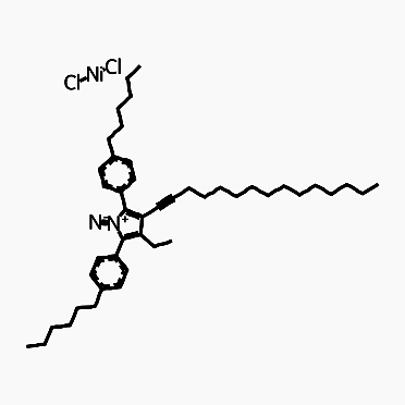 CCCCCCCCCCCCCC#CC1=C(c2ccc(CCCCCC)cc2)[N+](=[N-])C(c2ccc(CCCCCC)cc2)=C1CC.[Cl][Ni][Cl]